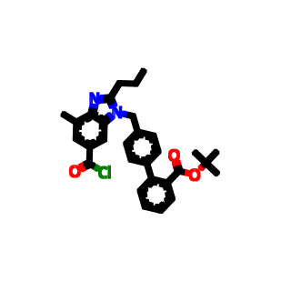 CCCc1nc2c(C)cc(C(=O)Cl)cc2n1Cc1ccc(-c2ccccc2C(=O)OC(C)(C)C)cc1